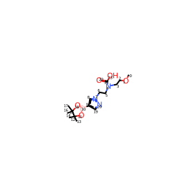 COCCN(CCn1cc(B2OC(C)(C)C(C)(C)O2)cn1)C(=O)O